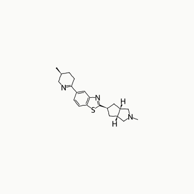 C[C@H]1CCC(c2ccc3sc([C@H]4C[C@@H]5CN(C)C[C@@H]5C4)nc3c2)=NC1